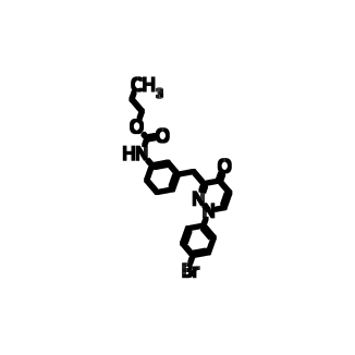 CCCOC(=O)NC1=CC(Cc2nn(-c3ccc(Br)cc3)ccc2=O)=CCC1